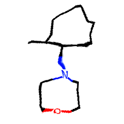 CC1CCCCC1N1CCOCC1